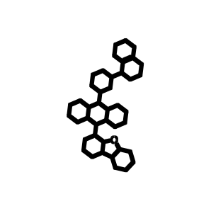 C1CCC2=C(C1)CCCC2C1CCCC(C2C3CCCCC3C(C3CCCC4C5CCCCC5OC43)C3CCCCC32)C1